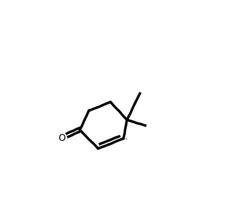 CC1(C)[C]=CC(=O)CC1